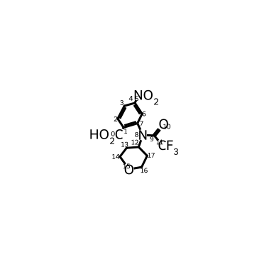 O=C(O)c1ccc([N+](=O)[O-])cc1N(C(=O)C(F)(F)F)C1CCOCC1